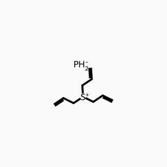 C=CC[S+](CC=C)CC=C.[PH2-]